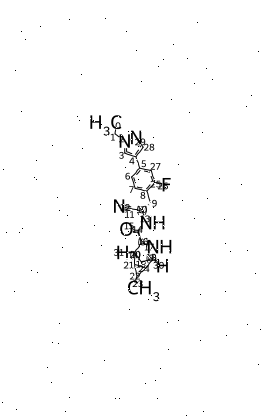 CCn1cc(-c2ccc(C[C@@H](C#N)NC(=O)[C@H]3N[C@H]4C[C@@H]3C3C(C)C34)c(F)c2)cn1